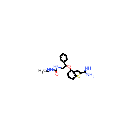 CCNC(=O)NCC(Oc1cccc2sc(C(=N)N)cc12)c1ccccc1